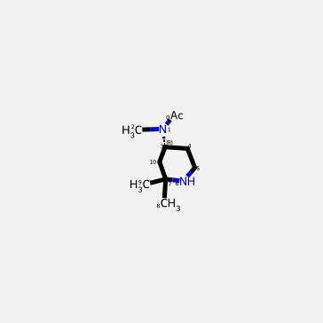 CC(=O)N(C)[C@@H]1CCNC(C)(C)C1